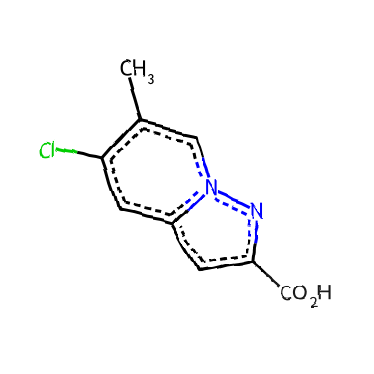 Cc1cn2nc(C(=O)O)cc2cc1Cl